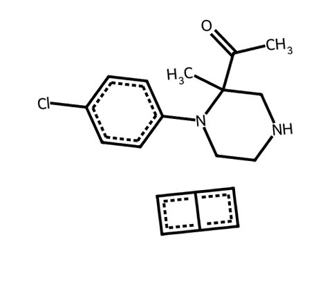 CC(=O)C1(C)CNCCN1c1ccc(Cl)cc1.c1cc2ccc1-2